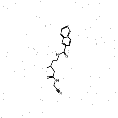 CC(CCNC(=O)c1ccc2ncccc2c1)CC(=O)NCC#N